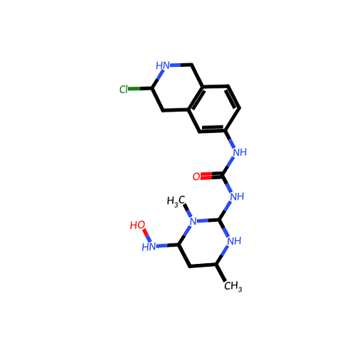 CC1CC(NO)N(C)C(NC(=O)Nc2ccc3c(c2)CC(Cl)NC3)N1